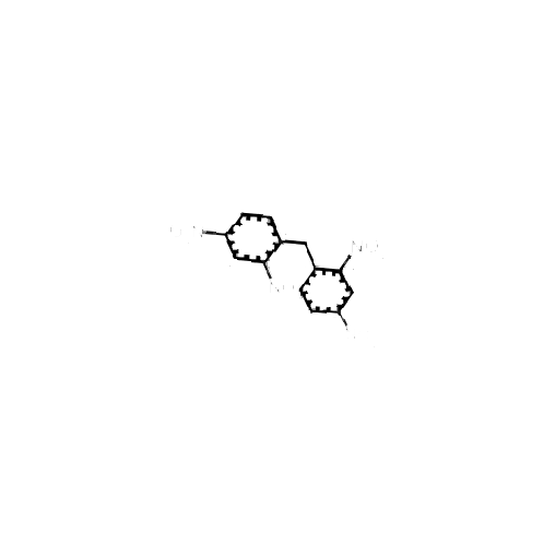 O=[N+]([O-])c1ccc(Cc2ccc([N+](=O)[O-])cc2[N+](=O)[O-])c([N+](=O)[O-])c1